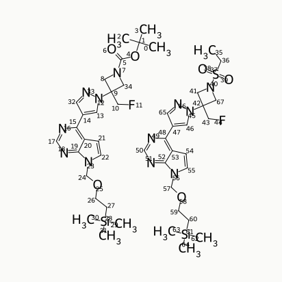 CC(C)(C)OC(=O)N1CC(CF)(n2cc(-c3ncnc4c3ccn4COCC[Si](C)(C)C)cn2)C1.CCS(=O)(=O)N1CC(CF)(n2cc(-c3ncnc4c3ccn4COCC[Si](C)(C)C)cn2)C1